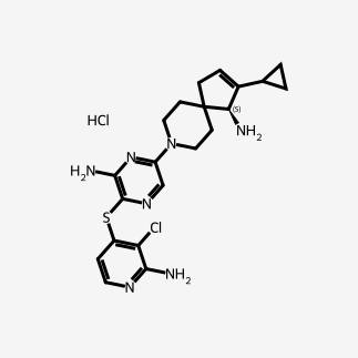 Cl.Nc1nc(N2CCC3(CC=C(C4CC4)[C@H]3N)CC2)cnc1Sc1ccnc(N)c1Cl